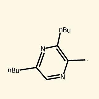 [CH2]c1ncc(CCCC)nc1CCCC